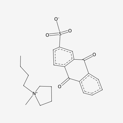 CCCC[N+]1(C)CCCC1.O=C1c2ccccc2C(=O)c2cc(S(=O)(=O)[O-])ccc21